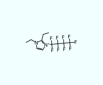 CCc1n(CC)cc[n+]1C(F)(F)C(F)(F)C(F)(F)C(F)(F)F